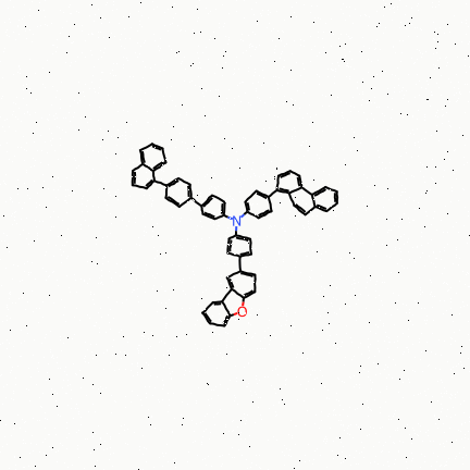 c1ccc2c(-c3ccc(-c4ccc(N(c5ccc(-c6ccc7oc8ccccc8c7c6)cc5)c5ccc(-c6cccc7c6ccc6ccccc67)cc5)cc4)cc3)cccc2c1